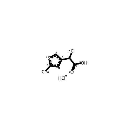 Cl.O=C(O)C(Cl)c1csc(Cl)c1